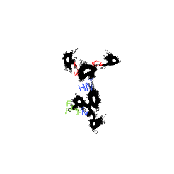 FC(F)(F)c1cccc2c(-c3cccc(NCc4cc(OCc5ccccc5)cc(OCc5ccccc5)c4)c3)c(Cc3ccccc3)cnc12